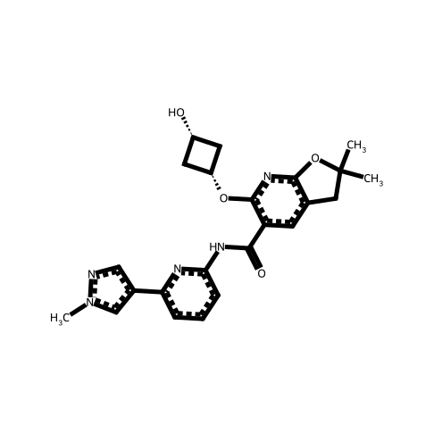 Cn1cc(-c2cccc(NC(=O)c3cc4c(nc3O[C@H]3C[C@@H](O)C3)OC(C)(C)C4)n2)cn1